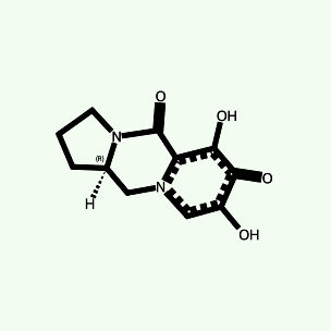 O=C1c2c(O)c(=O)c(O)cn2C[C@H]2CCCN12